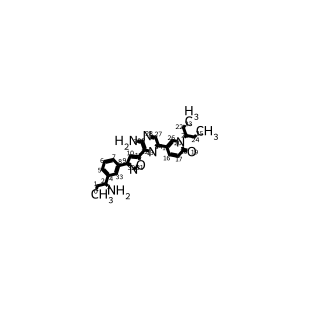 CCC(N)c1cccc(-c2cc(-c3nc(-c4ccc(=O)n(C(CC)CC)c4)cnc3N)on2)c1